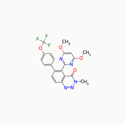 COc1cc(OC)nc(-c2c(-c3ccc(OC(F)(F)F)cc3)ccc3nnn(C)c(=O)c23)n1